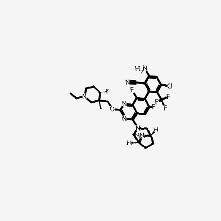 CCN1CC[C@H](F)[C@](C)(COc2nc(N3C[C@H]4CC[C@@H](C3)N4)c3cc(F)c(-c4c(C#N)c(N)cc(Cl)c4C(F)(F)F)c(F)c3n2)C1